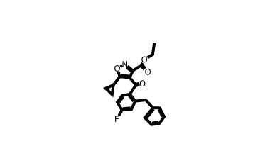 CCOC(=O)c1noc(C2CC2)c1C(=O)c1ccc(F)cc1Cc1ccccc1